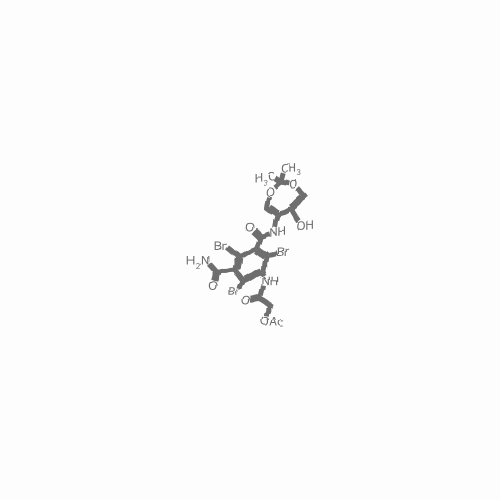 CC(=O)OCC(=O)Nc1c(Br)c(C(N)=O)c(Br)c(C(=O)NC2=COC(C)(C)OC=C2O)c1Br